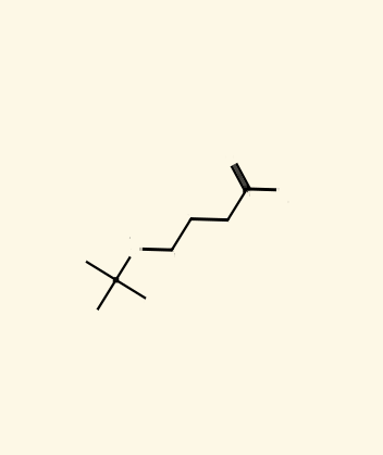 CC(C)(C)OCCCC(=O)O